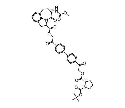 COC(=O)N[C@H]1CCc2cccc3c2N(C1=O)C(C(=O)OCC(=O)c1ccc(-c2ccc(C(=O)COC(=O)[C@@H]4CCCN4C(=O)OC(C)(C)C)cc2)cc1)C3